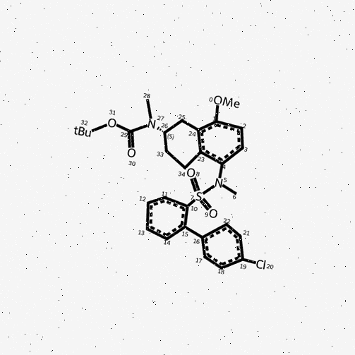 COc1ccc(N(C)S(=O)(=O)c2ccccc2-c2ccc(Cl)cc2)c2c1C[C@@H](N(C)C(=O)OC(C)(C)C)CC2